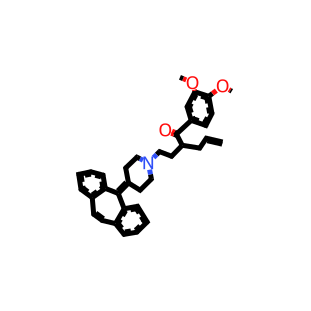 C=CCC(CCN1CCC(=C2c3ccccc3C=Cc3ccccc32)CC1)C(=O)c1ccc(OC)c(OC)c1